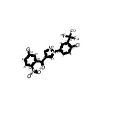 O=C(c1cnn(-c2ccc(Cl)c(C(F)(F)F)c2)c1)c1cc(Cl)ccc1[N+](=O)[O-]